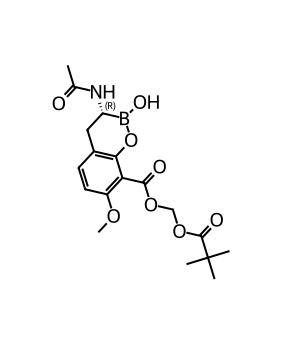 COc1ccc2c(c1C(=O)OCOC(=O)C(C)(C)C)OB(O)[C@@H](NC(C)=O)C2